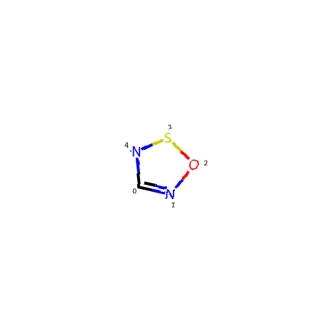 C1=NOS[N]1